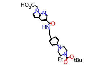 CC[C@@H]1CN(c2ccc(CCNC(=O)c3cnc4c(ccn4CC(=O)O)c3)cc2)CCN1C(=O)OC(C)(C)C